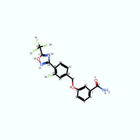 NC(=O)c1cccc(OCc2ccc(-c3noc(C(F)(F)F)n3)c(F)c2)c1